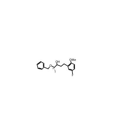 COc1ccc(F)cc1CCC(O)[C@H](I)OCc1ccccc1